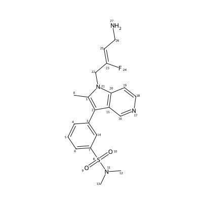 Cc1c(-c2cccc(S(=O)(=O)N(C)C)c2)c2cnccc2n1C/C(F)=C/CN